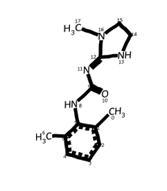 Cc1cccc(C)c1NC(=O)/N=C1\NCCN1C